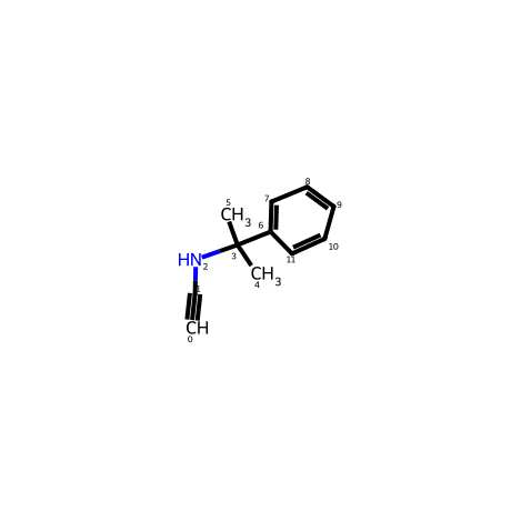 C#CNC(C)(C)c1ccccc1